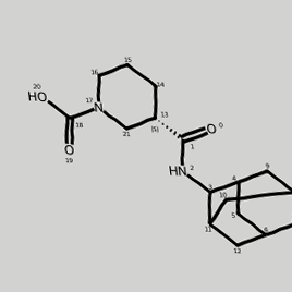 O=C(NC1C2CC3CC(C2)CC1C3)[C@H]1CCCN(C(=O)O)C1